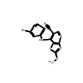 CSc1nc2ncc(C#N)c(Nc3cccc(Br)c3)c2s1